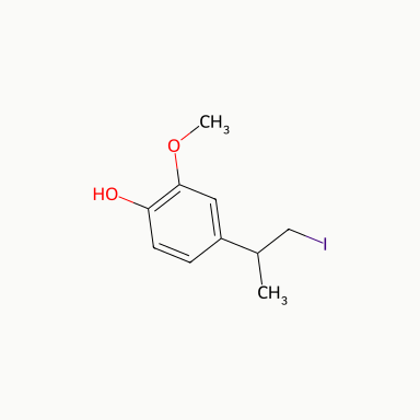 COc1cc(C(C)CI)ccc1O